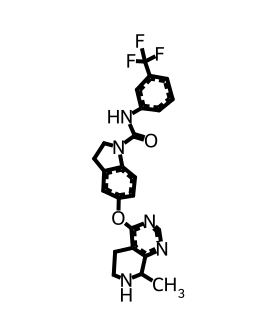 CC1NCCc2c(Oc3ccc4c(c3)CCN4C(=O)Nc3cccc(C(F)(F)F)c3)ncnc21